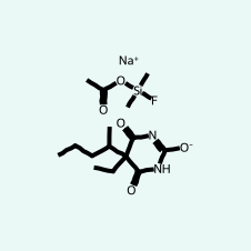 CC(=O)O[Si](C)(C)F.CCCC(C)C1(CC)C(=O)N=C([O-])NC1=O.[Na+]